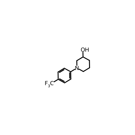 OC1CCCN(c2ccc(C(F)(F)F)cc2)C1